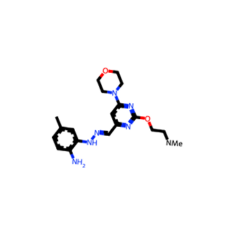 CNCCOc1nc(C=NNc2cc(C)ccc2N)cc(N2CCOCC2)n1